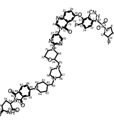 N#Cc1c(NS(=O)(=O)N2CC[C@@H](F)C2)ccc(F)c1Oc1ccc2ncn(-c3cnc(N4CCOC(CN5CCN(CC6CCN(c7ccc8c(c7)C(=O)N(C7CCC(=O)NC7=O)C8=O)CC6)CC5)C4)nc3)c(=O)c2c1